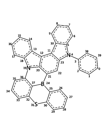 c1ccc(-n2c3ccccc3c3c4c5ccccc5n5c4c(cc32)B2c3ccccc3Sc3cccc-5c32)cc1